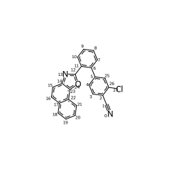 N#Cc1ccc(-c2ccccc2-c2nc3ccc4ccccc4c3o2)cc1Cl